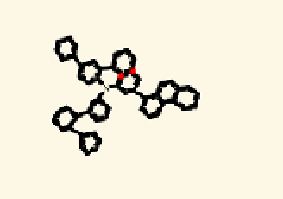 c1ccc(-c2ccc(N(c3cccc(-c4ccccc4-c4ccccc4)c3)c3cccc(-c4cccc5c4ccc4ccccc45)c3)c(-c3ccccc3)c2)cc1